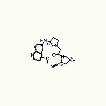 COc1ccnc2ccc(N[C@@H]3CCN(CC(=O)N4C[C@@H](F)C[C@H]4C#N)C3)cc12